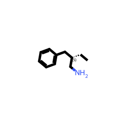 CC[C@H](CN)Cc1ccccc1